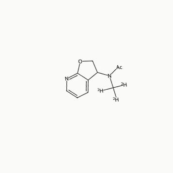 [2H]C([2H])([2H])N(C(C)=O)C1COc2ncccc21